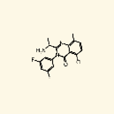 Cc1ccc(Cl)c2c(=O)n(-c3cc(F)cc(F)c3)c([C@H](C)N)nc12